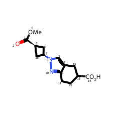 COC(=O)[C@H]1C[C@@H](n2cc3c(n2)CCC(C(=O)O)C3)C1